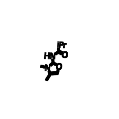 CC1=COC(NC(=O)C(C)C)N1C